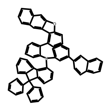 c1ccc(C2(c3ccccc3)c3ccccc3-c3c(N(c4cccc(-c5ccc6ccccc6c5)c4)c4ccccc4-c4cccc5oc6cc7ccccc7cc6c45)cccc32)cc1